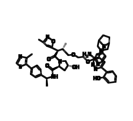 Cc1cc([C@H](C(=O)N2C[C@H](O)C[C@H]2C(=O)N[C@@H](C)c2ccc(-c3scnc3C)cc2)[C@H](C)COCCOc2cc(N3C4CCC3CN(c3cc(-c5ccccc5O)nnc3N)C4)ccn2)on1